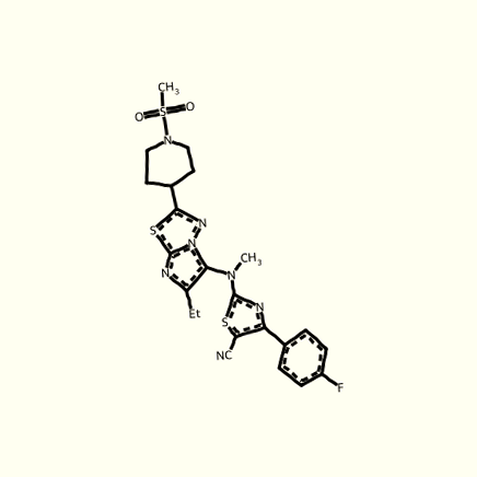 CCc1nc2sc(C3CCN(S(C)(=O)=O)CC3)nn2c1N(C)c1nc(-c2ccc(F)cc2)c(C#N)s1